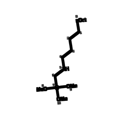 CCCCCCCCCCCCNC[Si](OC)(OC)OC